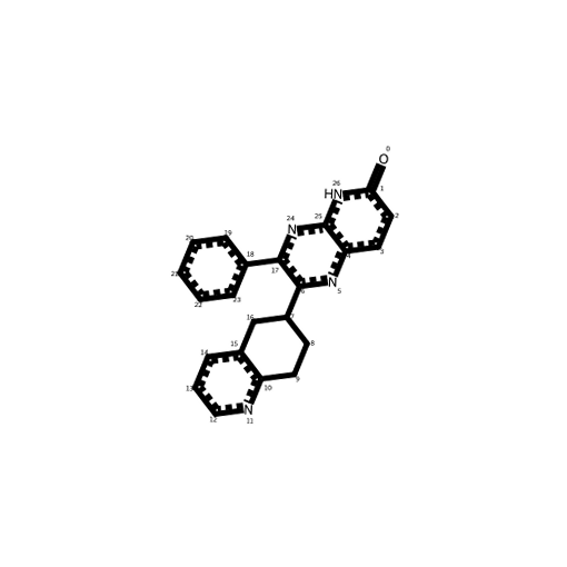 O=c1ccc2nc(C3CCc4ncccc4C3)c(-c3ccccc3)nc2[nH]1